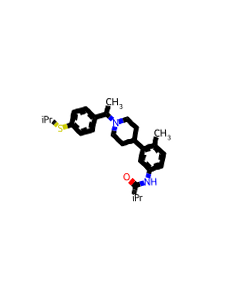 Cc1ccc(NC(=O)C(C)C)cc1C1CCN(C(C)c2ccc(SC(C)C)cc2)CC1